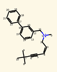 CN(C/C=C\C#CC(C)(C)C)Cc1cccc(-c2ccccc2)c1